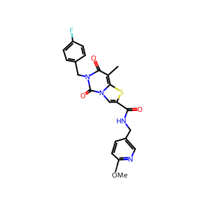 COc1ccc(CNC(=O)c2cn3c(=O)n(Cc4ccc(F)cc4)c(=O)c(C)c3s2)cn1